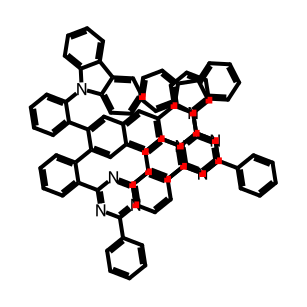 c1ccc(-c2nc(-c3ccccc3)nc(-c3ccccc3-c3cc4cc(-c5ccccc5-n5c6ccccc6c6ccccc65)c(-c5ccccc5-c5nc(-c6ccccc6)nc(-c6ccccc6)n5)cc4cc3-c3ccccc3-n3c4ccccc4c4ccccc43)n2)cc1